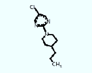 CCCC1CCN(c2ncc(Cl)cn2)CC1